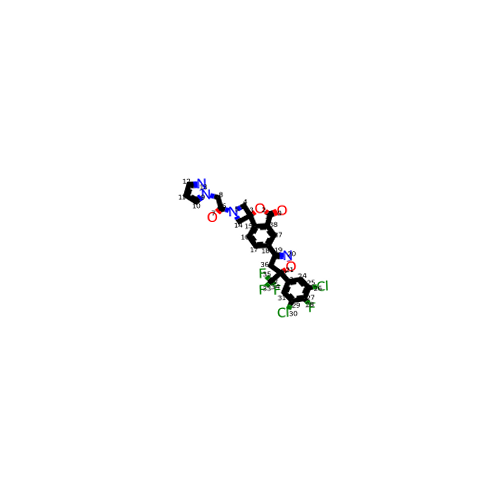 O=C1OC2(CN(C(=O)Cn3cccn3)C2)c2ccc(C3=NOC(c4cc(Cl)c(F)c(Cl)c4)(C(F)(F)F)C3)cc21